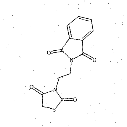 O=C1CSC(=O)N1CCN1C(=O)c2ccccc2C1=O